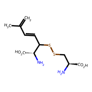 C=C(C)C=CC(SSC[C@H](N)C(=O)O)[C@H](N)C(=O)O